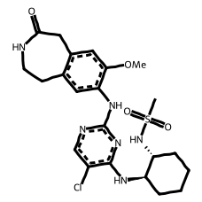 COc1cc2c(cc1Nc1ncc(Cl)c(N[C@@H]3CCCC[C@H]3NS(C)(=O)=O)n1)CCNC(=O)C2